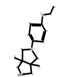 CCOc1ccc(N2CC3(C)CNCC3(C)C2)cc1